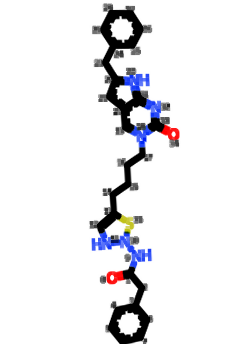 O=C(Cc1ccccc1)NN1NC=C(CCCCn2cc3cc(Cc4ccccc4)[nH]c3nc2=O)S1